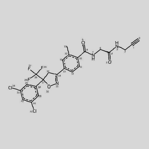 C#CCNC(=O)CNC(=O)c1ccc(C2=NOC(c3cc(Cl)cc(Cl)c3)(C(F)(F)F)C2)cc1C